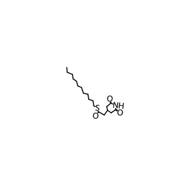 CCCCCCCCCCCCSC(=O)CC1CC(=O)NC(=O)C1